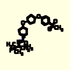 C=C(/N=C(\ON)N1CCC(O[C@H]2CC[C@H](Oc3ccc(S(C)(=O)=O)cc3)CC2)CC1)C(C)(C)F